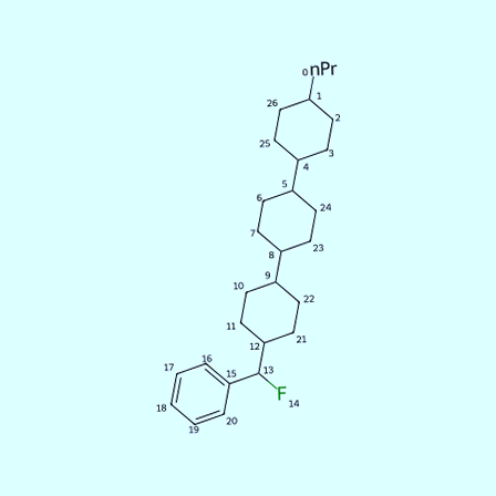 CCCC1CCC(C2CCC(C3CCC(C(F)c4ccccc4)CC3)CC2)CC1